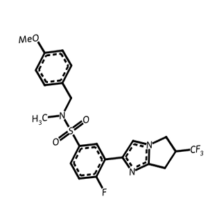 COc1ccc(CN(C)S(=O)(=O)c2ccc(F)c(-c3cn4c(n3)CC(C(F)(F)F)C4)c2)cc1